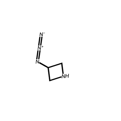 [N-]=[N+]=NC1CNC1